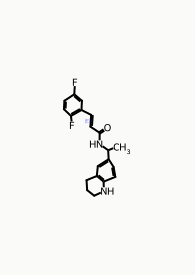 CC(NC(=O)/C=C/c1cc(F)ccc1F)c1ccc2c(c1)CCCN2